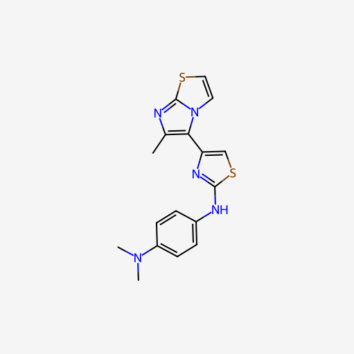 Cc1nc2sccn2c1-c1csc(Nc2ccc(N(C)C)cc2)n1